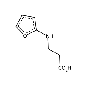 O=C(O)CCNc1ccco1